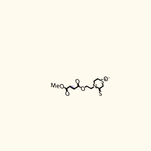 COC(=O)/C=C/C(=O)OCCN1CC[S+]([O-])CC1=S